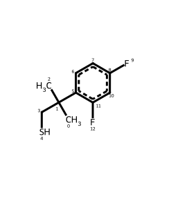 CC(C)(CS)c1ccc(F)cc1F